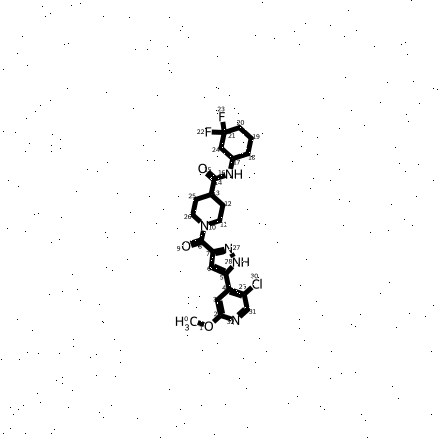 COc1cc(-c2cc(C(=O)N3CCC(C(=O)NC4CCCC(F)(F)C4)CC3)n[nH]2)c(Cl)cn1